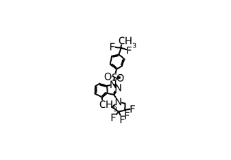 Cc1cccc2c1c(N1CC(F)(F)C(F)(F)C1)nn2S(=O)(=O)c1ccc(C(C)(F)F)cc1